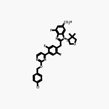 CC1(C)COC[C@H]1n1c(Cc2cc(F)c(-c3ccnc(OCc4ccc(Cl)cc4)n3)cc2F)nc2c(F)cc(C(=O)O)cc21